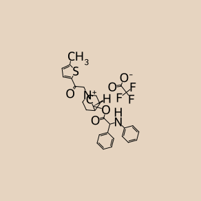 Cc1ccc(C(=O)C[N+]23CCC(CC2)[C@@H](OC(=O)C(Nc2ccccc2)c2ccccc2)C3)s1.O=C([O-])C(F)(F)F